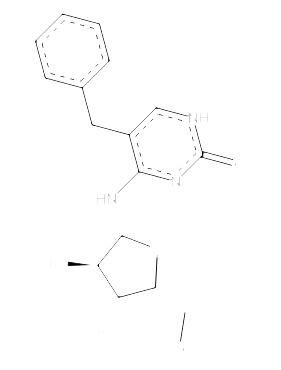 O=c1nc(N[C@@H]2O[C@H](CO)[C@H](Br)[C@H]2O)c(Cc2ccccc2)c[nH]1